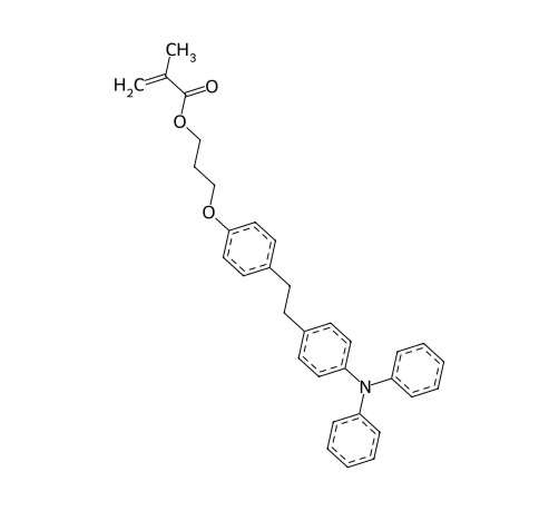 C=C(C)C(=O)OCCCOc1ccc(CCc2ccc(N(c3ccccc3)c3ccccc3)cc2)cc1